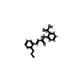 CCCc1ccccc1/C=C/C(=O)Nc1ccccc1C(=O)O